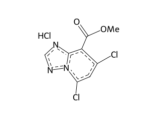 COC(=O)c1c(Cl)cc(Cl)n2ncnc12.Cl